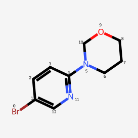 Brc1ccc(N2CCCOC2)nc1